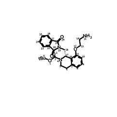 CC(C)(C)OC(=O)N1CCc2cccc(OCCN)c2[C@H]1CN1C(=O)c2ccccc2C1=O